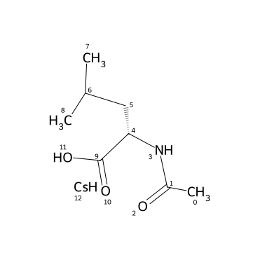 CC(=O)N[C@@H](CC(C)C)C(=O)O.[CsH]